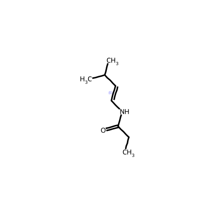 CCC(=O)N/C=C/C(C)C